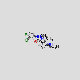 Cc1c2c(c(C(=O)Nc3ccc(F)c(Cl)c3)n1C)CCCC2NC(=O)O